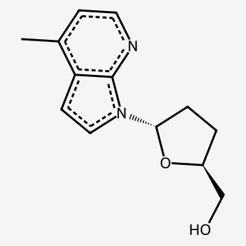 Cc1ccnc2c1ccn2[C@@H]1CC[C@@H](CO)O1